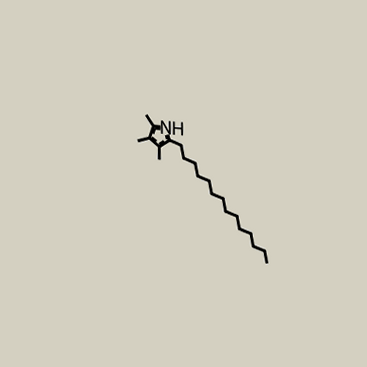 CCCCCCCCCCCCCCc1[nH]c(C)c(C)c1C